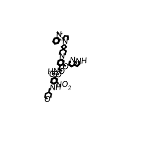 CN(C)c1ccccc1[C@@H]1CCCN1C1CC2(CCN(c3ccc(C(=O)NS(=O)(=O)c4ccc(NCC5CCOCC5)c([N+](=O)[O-])c4)c(Oc4cnc5[nH]ccc5c4)c3)CC2)C1